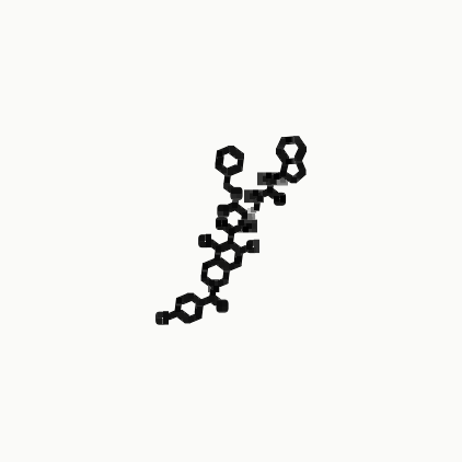 O=C(NC[C@H](NC(=O)c1c(Cl)cc2c(c1Cl)CCN(C(=O)c1ccc(Cl)cc1)C2)C(=O)OCc1ccccc1)N[C@@H]1CCc2ccccc21